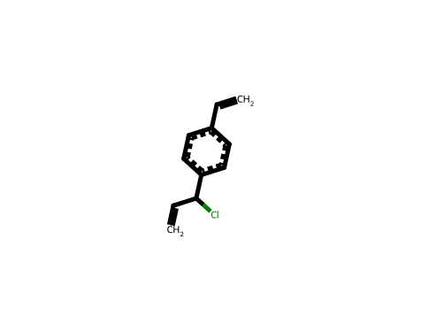 C=Cc1ccc(C(Cl)C=C)cc1